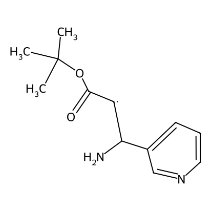 CC(C)(C)OC(=O)[CH]C(N)c1cccnc1